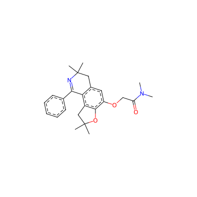 CN(C)C(=O)COc1cc2c(c3c1OC(C)(C)C3)C(c1ccccc1)=NC(C)(C)C2